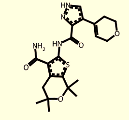 CC1(C)Cc2c(sc(NC(=O)c3n[nH]cc3C3=CCOCC3)c2C(N)=O)C(C)(C)O1